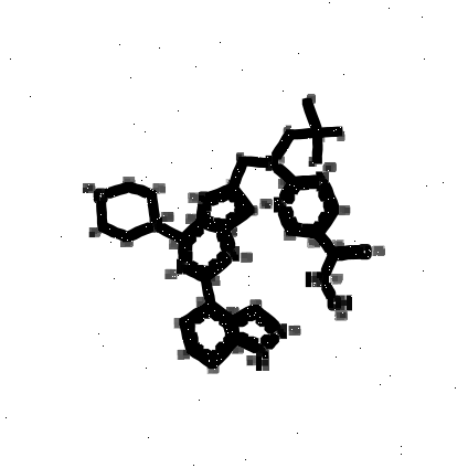 CC(C)(C)CN(Cc1cc2nc(-c3cccc4[nH]ncc34)nc(N3CCOCC3)c2s1)c1ncc(C(=O)NO)cn1